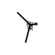 CCCCCCCCCCCCCCCCCCOC(=O)CC(CC(=O)OCCCCCCCCCCCCCCCCCC)NC(=O)CCCCN(C)C